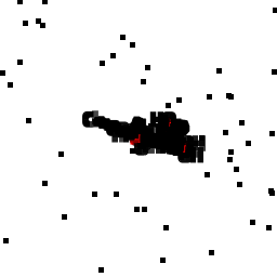 C[Si]1(C)c2cc(N3CCC3)ccc2C2(OC(=O)c3ccc(C(=O)NCCOCCOCCCCCCCl)cc32)c2ccc(N3CC(C(=O)Nc4ccc(N(CC(=O)O)CC(=O)O)c(OCCOc5ccccc5N(CC(=O)O)CC(=O)O)c4)C3)cc21